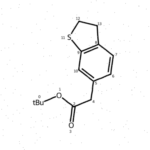 CC(C)(C)OC(=O)Cc1ccc2c(c1)SCC2